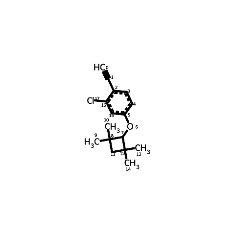 C#Cc1ccc(OC2C(C)(C)CC2(C)C)cc1Cl